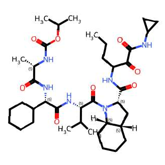 CCCC(NC(=O)[C@@H]1C[C@@H]2CCCC[C@@H]2N1C(=O)[C@@H](NC(=O)[C@@H](NC(=O)[C@H](C)NC(=O)OC(C)C)C1CCCCC1)C(C)C)C(=O)C(=O)NC1CC1